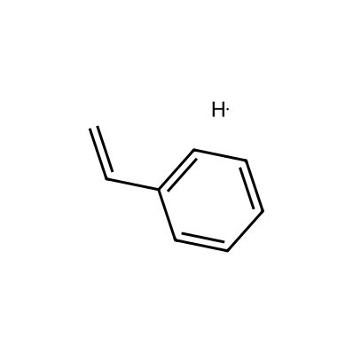 C=Cc1ccccc1.[H]